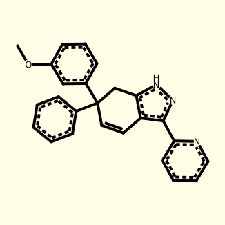 COc1cccc(C2(c3ccccc3)C=Cc3c(-c4ccccn4)n[nH]c3C2)c1